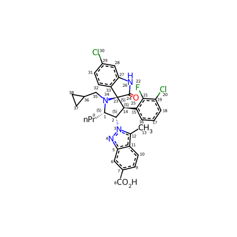 CCC[C@H]1[C@@H](n2nc3cc(C(=O)O)ccc3c2C)[C@H](c2cccc(Cl)c2F)[C@]2(C(=O)Nc3cc(Cl)ccc32)N1CC1CC1